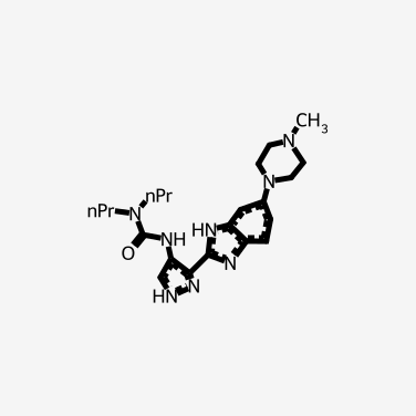 CCCN(CCC)C(=O)Nc1c[nH]nc1-c1nc2ccc(N3CCN(C)CC3)cc2[nH]1